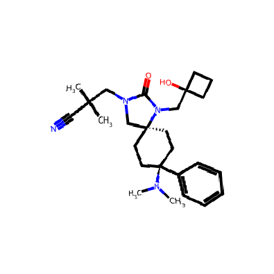 CN(C)[C@]1(c2ccccc2)CC[C@]2(CC1)CN(CC(C)(C)C#N)C(=O)N2CC1(O)CCC1